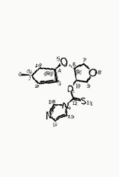 C[C@@H]1C=C[C@H](O[C@@H]2COCC2OC(=S)n2ccnc2)C1